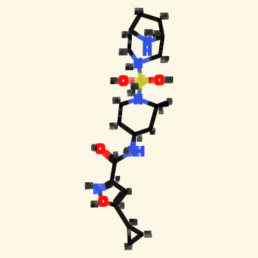 C[C@H]1C[C@@H](NC(=O)c2cc(C3CC3)on2)CCN1S(=O)(=O)N1CC2CCC(C1)N2